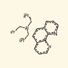 CC(C)[CH2][Al]([CH2]C(C)C)[CH2]C(C)C.c1cnc2c(c1)ccc1cccnc12